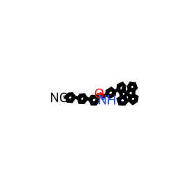 N#Cc1ccc(-c2ccc(-c3ccc4c(c3)OC(c3ccc(-c5cccc6c5-c5ccccc5C65c6ccccc6-c6ccccc65)cc3)N4)cc2)cc1